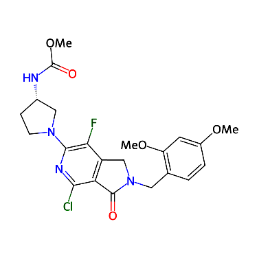 COC(=O)N[C@H]1CCN(c2nc(Cl)c3c(c2F)CN(Cc2ccc(OC)cc2OC)C3=O)C1